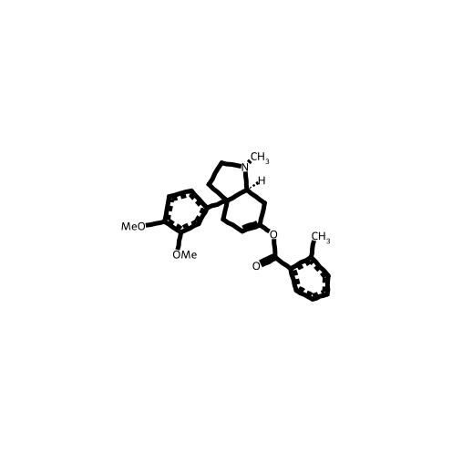 COc1ccc(C23CC=C(OC(=O)c4ccccc4C)C[C@@H]2N(C)CC3)cc1OC